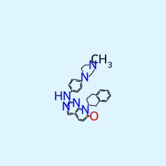 CN1CCN(c2ccc(Nc3ncc4ccc(=O)n(C5CCc6ccccc6C5)c4n3)cc2)CC1